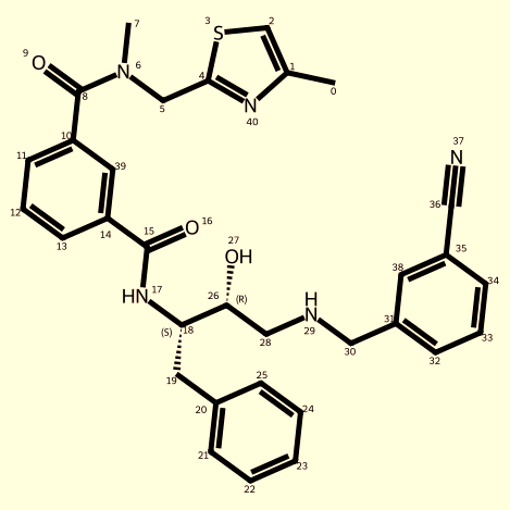 Cc1csc(CN(C)C(=O)c2cccc(C(=O)N[C@@H](Cc3ccccc3)[C@H](O)CNCc3cccc(C#N)c3)c2)n1